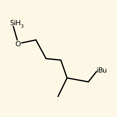 CCC(C)CC(C)CCCO[SiH3]